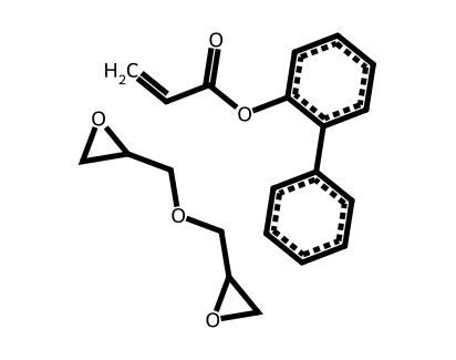 C(OCC1CO1)C1CO1.C=CC(=O)Oc1ccccc1-c1ccccc1